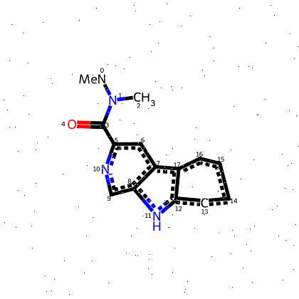 CNN(C)C(=O)c1cc2c(cn1)[nH]c1ccccc12